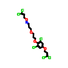 ClC(Cl)=CCO/N=C/CCOCCCOc1c(Cl)cc(OCC=C(Cl)Cl)cc1Cl